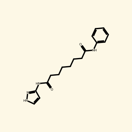 O=C(CCCCCCC(=O)Nc1cc[nH]n1)Nc1ccccc1